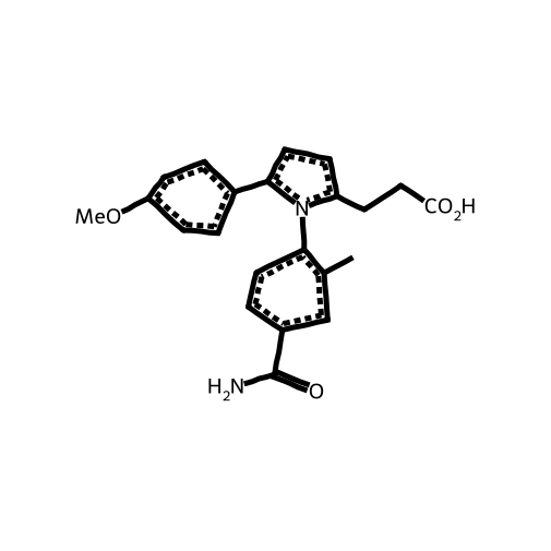 COc1ccc(-c2ccc(CCC(=O)O)n2-c2ccc(C(N)=O)cc2C)cc1